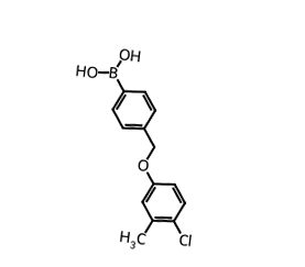 Cc1cc(OCc2ccc(B(O)O)cc2)ccc1Cl